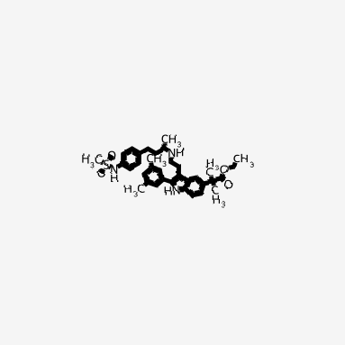 CCOC(=O)C(C)(C)c1ccc2[nH]c(-c3cc(C)cc(C)c3)c(CCNC(C)CCc3ccc(NS(C)(=O)=O)cc3)c2c1